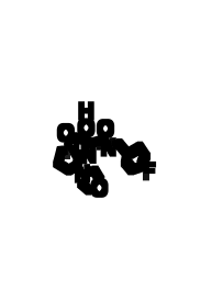 O=C([N]Cc1ccc(F)cc1)c1nc2n(c(=O)c1O)CCCC2N1CCOCC1